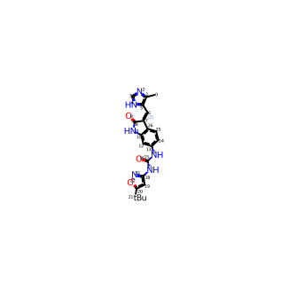 Cc1nc[nH]c1/C=C1\C(=O)Nc2cc(NC(=O)Nc3cc(C(C)(C)C)on3)ccc21